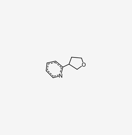 c1ccc(C2CCOC2)nc1